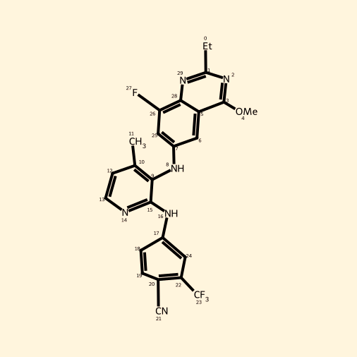 CCc1nc(OC)c2cc(Nc3c(C)ccnc3Nc3ccc(C#N)c(C(F)(F)F)c3)cc(F)c2n1